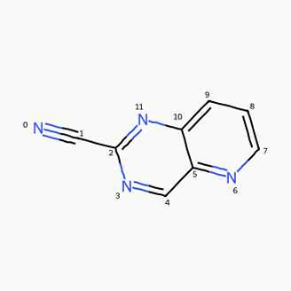 N#Cc1ncc2ncccc2n1